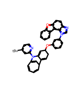 CC(C)(C)c1ccnc(N2C3=CC(C=CC=C3)C3=CCC(Oc4cccc(-n5cnc6ccc7oc8ccccc8c7c65)c4)C=C32)c1